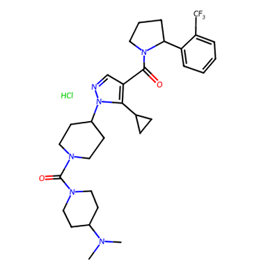 CN(C)C1CCN(C(=O)N2CCC(n3ncc(C(=O)N4CCCC4c4ccccc4C(F)(F)F)c3C3CC3)CC2)CC1.Cl